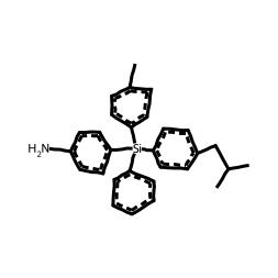 Cc1ccc([Si](c2ccccc2)(c2ccc(N)cc2)c2ccc(CC(C)C)cc2)cc1